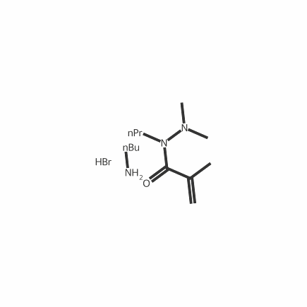 Br.C=C(C)C(=O)N(CCC)N(C)C.CCCCN